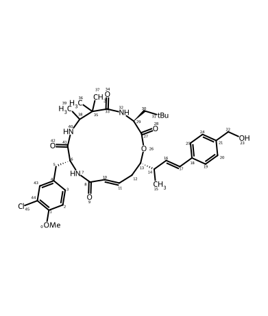 COc1ccc(C[C@H]2NC(=O)/C=C/C[C@@H](C(C)/C=C/c3ccc(CO)cc3)OC(=O)[C@H](CC(C)(C)C)NC(=O)C(C)(C)C(C)NC2=O)cc1Cl